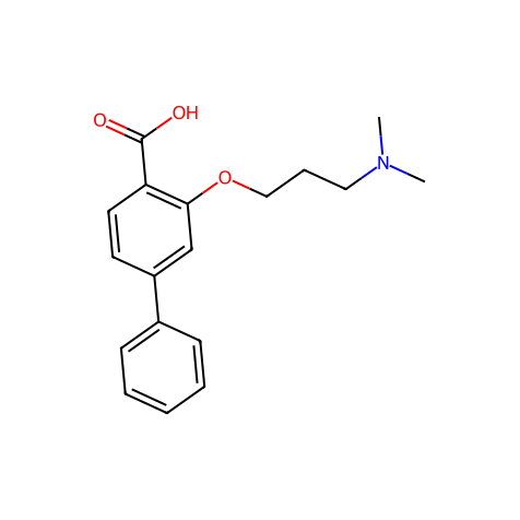 CN(C)CCCOc1cc(-c2ccccc2)ccc1C(=O)O